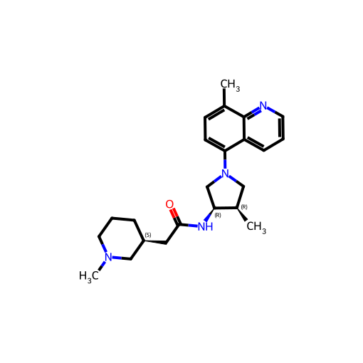 Cc1ccc(N2C[C@@H](C)[C@@H](NC(=O)C[C@@H]3CCCN(C)C3)C2)c2cccnc12